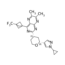 Cc1nc2nc([C@H]3CCO[C@@H](c4cnn(C5CC5)c4)C3)nc(C34CC(C(F)(F)F)(C3)C4)c2nc1C